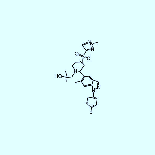 Cc1cc2c(cnn2-c2ccc(F)cc2)cc1C1CN(S(=O)(=O)c2cnn(C)n2)CCN1CC(C)(C)O